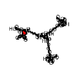 COc1ccc(C(OCC2(C)CN(C(=O)CCCCCCCCC(=O)NCC(=O)Nc3cc(C(=O)NCCOCCOCCOCCOC4O[C@H](COC(C)=O)[C@H](OC(C)=O)[C@H](OC(C)=O)[C@H]4NC(C)=O)cc(C(=O)NCCOCCOCCOCCOC4O[C@H](COC(C)=O)[C@H](OC(C)=O)[C@H](OC(C)=O)[C@H]4NC(C)=O)c3)CC2(C)COC(=O)CCC(=O)O)(c2ccccc2)c2ccc(OC)cc2)cc1